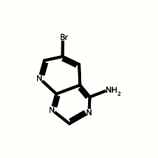 Nc1ncnc2ncc(Br)cc12